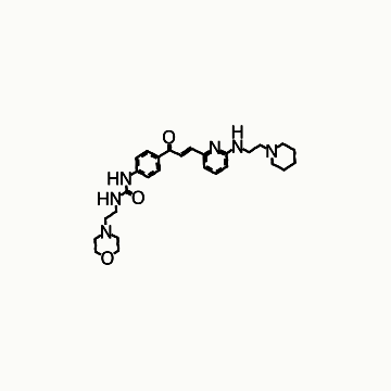 O=C(NCCN1CCOCC1)Nc1ccc(C(=O)C=Cc2cccc(NCCN3CCCCC3)n2)cc1